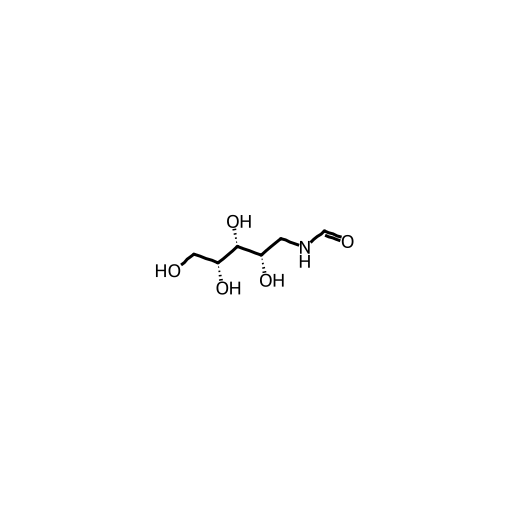 O=CNC[C@H](O)[C@@H](O)[C@H](O)CO